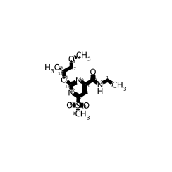 CCNC(=O)c1cc(S(C)(=O)=O)nc(O[C@H](C)COC)n1